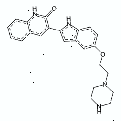 O=c1[nH]c2ccccc2cc1-c1cc2cc(OCCN3CCNCC3)ccc2[nH]1